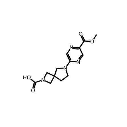 COC(=O)c1cnc(N2CCC3(CN(C(=O)O)C3)C2)cn1